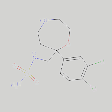 NS(=O)(=O)NCC1(c2ccc(Cl)c(Cl)c2)CCNCCO1